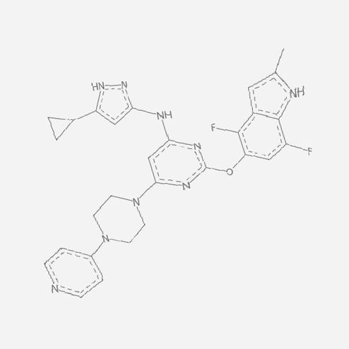 Cc1cc2c(F)c(Oc3nc(Nc4cc(C5CC5)[nH]n4)cc(N4CCN(c5ccncc5)CC4)n3)cc(F)c2[nH]1